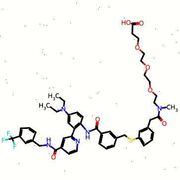 CCN(CC)c1ccc(NC(=O)c2cccc(CSc3cccc(CC(=O)N(C)CCOCCOCCOCCC(=O)O)c3)c2)c(-c2cc(C(=O)NCc3cccc(C(F)(F)F)c3)ccn2)c1